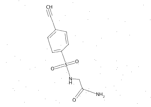 C#Cc1ccc(S(=O)(=O)NCC(N)=O)cc1